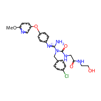 COc1ccc(Oc2ccc(/N=C(\N)N(Cc3ccc(Cl)cc3)C(=O)NCC(=O)NCCO)cc2)cn1